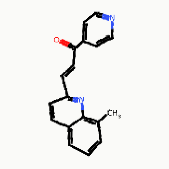 Cc1cccc2ccc(C=CC(=O)c3ccncc3)nc12